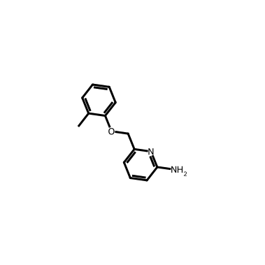 Cc1ccccc1OCc1cccc(N)n1